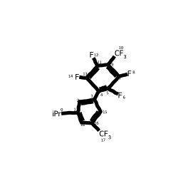 CC(C)c1cc(-c2c(F)c(F)c(C(F)(F)F)c(F)c2F)cc(C(F)(F)F)c1